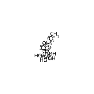 Cc1ccc(C=CC(=O)c2c(O)cccc2O[C@@H]2O[C@H](CO)[C@@H](O)[C@H](O)[C@H]2O)cc1